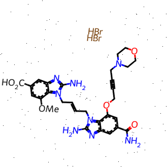 Br.Br.COc1cc(C(=O)O)cc2nc(N)n(CC=CCn3c(N)nc4cc(C(N)=O)cc(OCC#CCN5CCOCC5)c43)c12